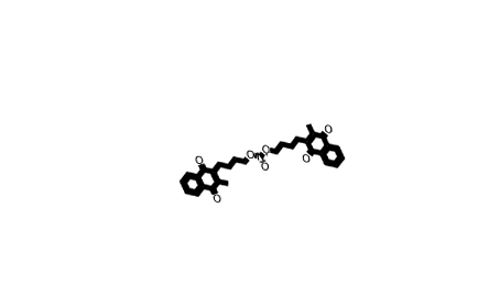 CC1=C(CCCCO[N+](=O)OCCCCC2=C(C)C(=O)c3ccccc3C2=O)C(=O)c2ccccc2C1=O